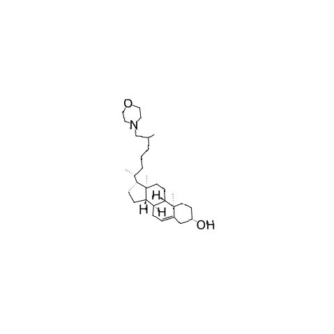 CC(CCC[C@@H](C)[C@H]1CC[C@H]2[C@@H]3CC=C4C[C@@H](O)CC[C@]4(C)[C@H]3CC[C@]12C)CN1CCOCC1